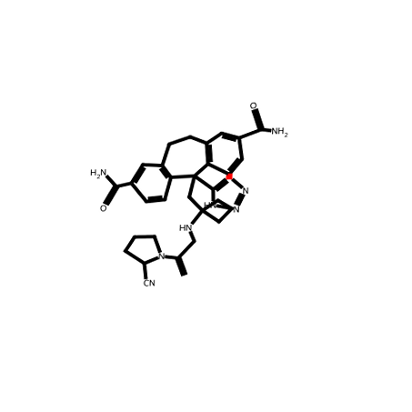 C=C(CNC1(CC2(c3nnn[nH]3)c3ccc(C(N)=O)cc3CCc3cc(C(N)=O)ccc32)CCC1)N1CCCC1C#N